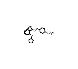 O=C(O)N1CCC(COc2noc3cccc(OC4CCCC4)c23)CC1